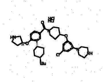 CC(C)(C)[C@H]1CC[C@H](c2cc(C(=O)N3CCC(Oc4cc(Cl)cc(N5CCNCC5)c4)CC3)ccc2O[C@H]2CCNC2)CC1.Cl.Cl